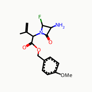 C=C(C)C(C(=O)OCc1ccc(OC)cc1)N1C(=O)C(N)C1F